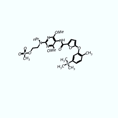 CCCN(CCOS(C)(=O)=O)c1nc(OC)c(NC(=O)c2ccc(Oc3cc([Si](C)(C)C)ccc3C)o2)c(OC)n1